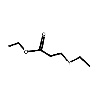 CCOC(=O)CCSCC